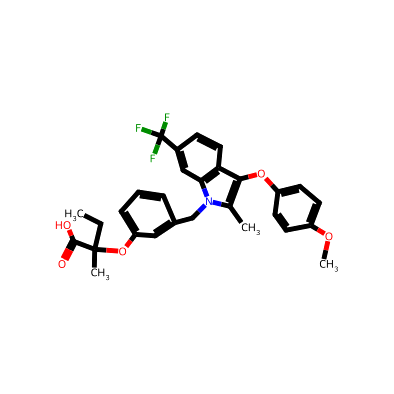 CCC(C)(Oc1cccc(Cn2c(C)c(Oc3ccc(OC)cc3)c3ccc(C(F)(F)F)cc32)c1)C(=O)O